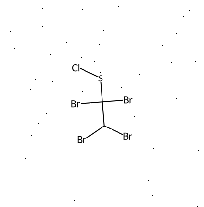 ClSC(Br)(Br)C(Br)Br